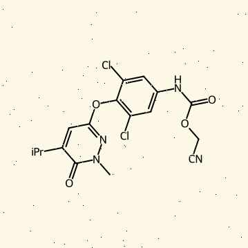 CC(C)c1cc(Oc2c(Cl)cc(NC(=O)OCC#N)cc2Cl)nn(C)c1=O